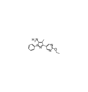 CCOc1ncc(-c2nn(-c3ccccc3)c(N)c2C)cn1